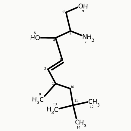 CC(/C=C/C(O)C(N)CO)CC(C)(C)C